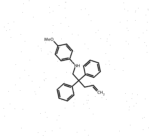 C=CCC(CNc1ccc(OC)cc1)(c1ccccc1)c1ccccc1